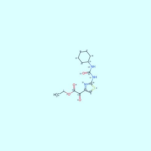 CCOC(=O)C(=O)c1csc(NC(=O)NC2CCCCC2)n1